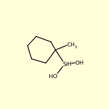 CC1([SiH](O)O)CCCCC1